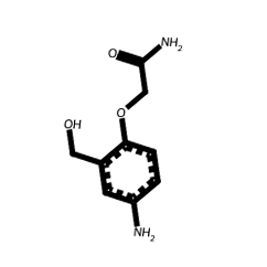 NC(=O)COc1ccc(N)cc1CO